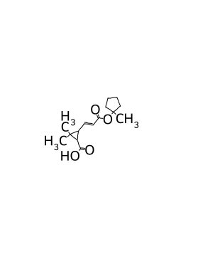 CC1(OC(=O)C=CC2C(C(=O)O)C2(C)C)CCCC1